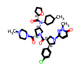 CN1CCN(C(=O)[C@@H]2C[C@H](N(C(=O)[C@@H]3CCCO3)[C@H]3CC[C@@H](C)CC3)CN2C(=O)[C@@H]2CN(c3ccc(=O)n(C)n3)C[C@H]2c2ccc(Cl)cc2)CC1